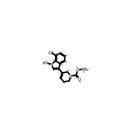 CC(C)n1cc(C2=CCCN(C(=O)OC(C)(C)C)C2)c2cccc(Cl)c21